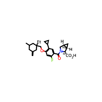 C=C1CC(C)CC(CC)(COc2cc(F)c(C(=O)N3C[C@H]4C[C@H]4[C@H]3C(=O)O)cc2C2CC2)C1